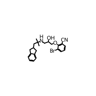 CC(C)(CC1Cc2ccccc2C1)NCC(O)COc1c(Br)cccc1C#N